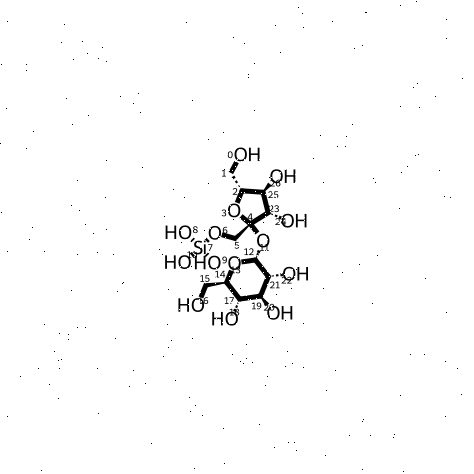 OC[C@H]1O[C@@](CO[Si](O)(O)O)(O[C@H]2O[C@H](CO)[C@@H](O)[C@H](O)[C@H]2O)[C@@H](O)[C@@H]1O